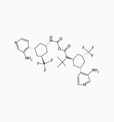 CC(C)(C)N(C(=O)OC(=O)N[C@H]1C[C@@H](c2ccncc2N)C[C@H](C(F)(F)F)C1)[C@@H]1C[C@@H](c2ccncc2N)C[C@@H](C(F)(F)F)C1